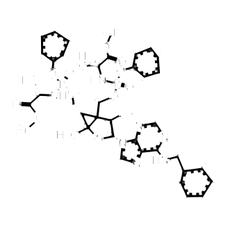 CC(C)OC(=O)[C@H](C)NP(=O)(OC[C@H]1C2(C)O[C@@H](n3cnc4c(NCc5ccccc5)ncnc43)C(F)C12COP(=O)(N[C@@H](C)C(=O)OC(C)C)Oc1ccccc1)Oc1ccccc1